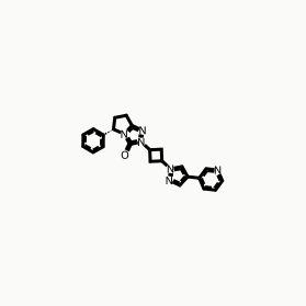 O=c1n(C2CC(n3cc(-c4cccnc4)cn3)C2)nc2n1[C@H](c1ccccc1)CC2